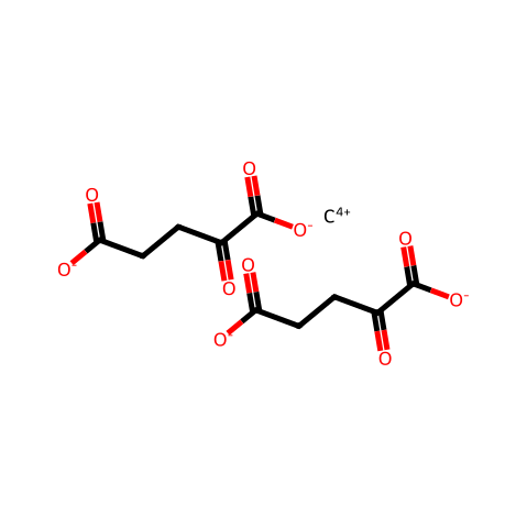 O=C([O-])CCC(=O)C(=O)[O-].O=C([O-])CCC(=O)C(=O)[O-].[C+4]